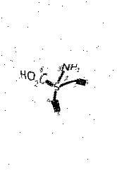 C#CS(N)(C#C)C(=O)O